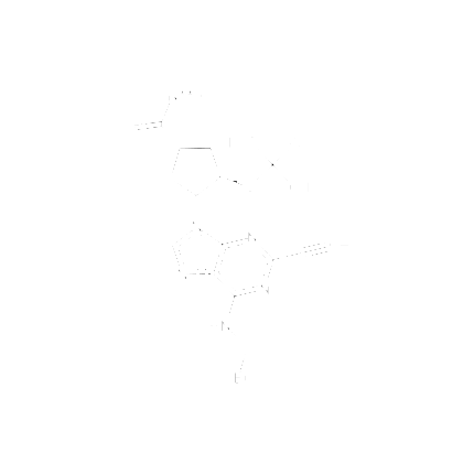 C#Cc1nc(NOCC)c2ncn([C@@H]3O[C@H](C(=O)NC)C[C@H]3OC(C)(C)O)c2n1